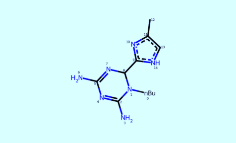 CCCCN1C(N)=NC(N)=NC1c1nc(C)c[nH]1